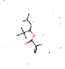 C=C(C)C(=O)OC(CC(C)C)C(C)(C)C